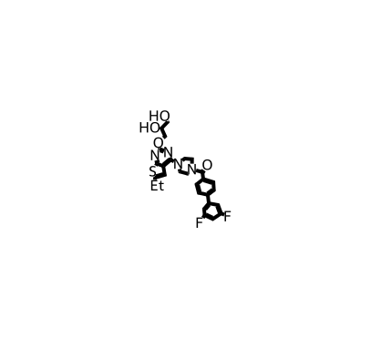 CCc1cc2c(N3CCN(C(=O)c4ccc(-c5cc(F)cc(F)c5)cc4)CC3)nc(OC[C@H](O)CO)nc2s1